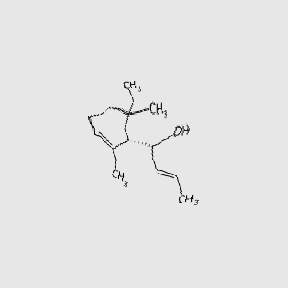 C/C=C/C(O)[C@@H]1C(C)=CCCC1(C)C